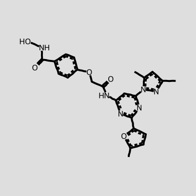 Cc1cc(C)n(-c2cc(NC(=O)COc3ccc(C(=O)NO)cc3)nc(-c3ccc(C)o3)n2)n1